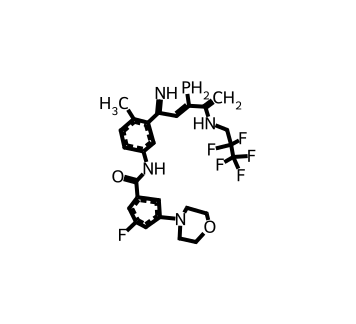 C=C(NCC(F)(F)C(F)(F)F)/C(P)=C/C(=N)c1cc(NC(=O)c2cc(F)cc(N3CCOCC3)c2)ccc1C